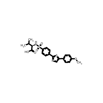 COc1ccc(-c2cnc(-c3ccc(S(=O)(=O)N[C@@H](C(=O)O)C(C)C)cc3)s2)cc1